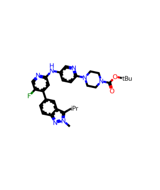 CC(C)c1c2cc(-c3cc(Nc4ccc(N5CCN(C(=O)OC(C)(C)C)CC5)nc4)ncc3F)ccc2nn1C